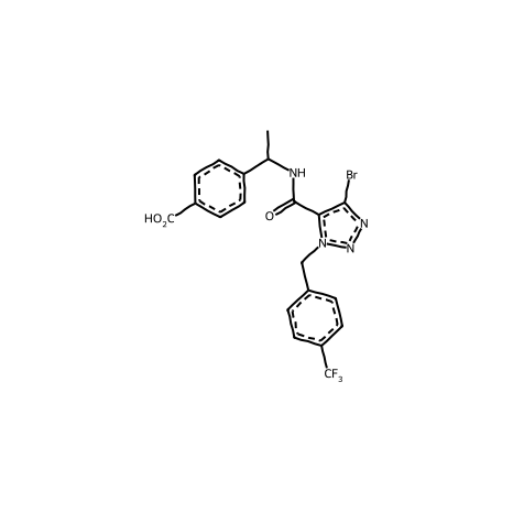 CC(NC(=O)c1c(Br)nnn1Cc1ccc(C(F)(F)F)cc1)c1ccc(C(=O)O)cc1